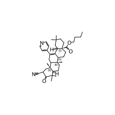 CCCCOC(=O)[C@]12CCC(C)(C)C[C@H]1C1=C(c3ccncc3)CC3[C@@]4(C)CC(C#N)C(=O)C(C)(C)[C@@H]4CC[C@@]3(C)[C@]1(C)CC2